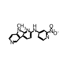 Cn1c2ccncc2c2ccc(Nc3ccnc([N+](=O)[O-])c3)nc21